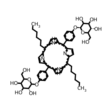 CCCCCCc1c2nc(c(-c3ccc(O[C@@H]4OC(CO)[C@@H](O)C(O)C4O)cc3)c3ccc([nH]3)c(CCCCCC)c3nc(c(-c4ccc(OC5OC(CO)C(O)C(O)[C@H]5O)cc4)c4ccc1[nH]4)C=C3)C=C2